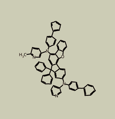 Cc1ccc(N(c2ccc(-c3ccccc3)cc2)c2cc3c(c4oc5ccccc5c24)-c2ccc(N(c4ccc(-c5ccccc5)cc4)c4cccnc4)cc2C3(c2ccccc2)c2ccccc2)cn1